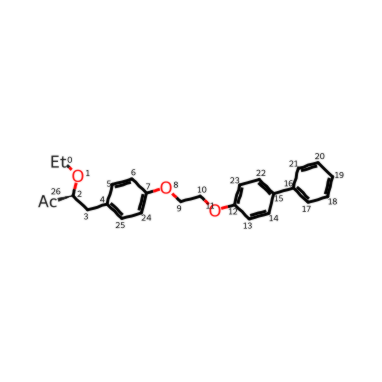 CCO[C@@H](Cc1ccc(OCCOc2ccc(-c3ccccc3)cc2)cc1)C(C)=O